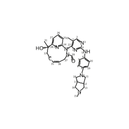 Cc1cnc(Nc2ccc(N3CC4CN(C)CC4C3)cc2)nc1N1c2cccc(n2)C(C)(O)CC/C=C\CN1C=O